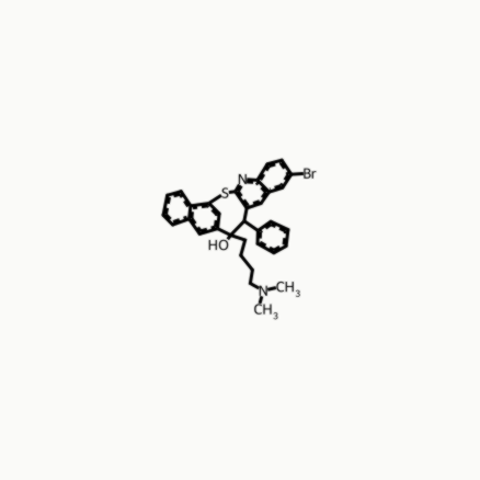 CN(C)CCCCC1(O)c2cc(c3ccccc3c2)Sc2nc3ccc(Br)cc3cc2C1c1ccccc1